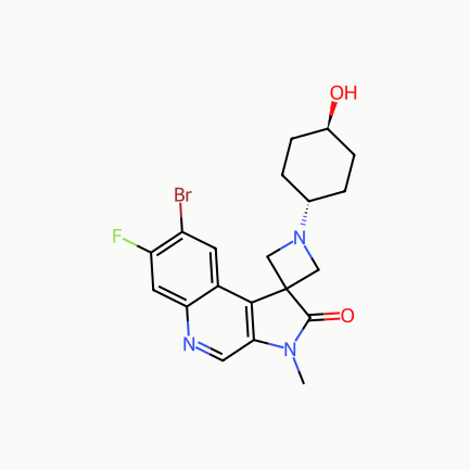 CN1C(=O)C2(CN([C@H]3CC[C@H](O)CC3)C2)c2c1cnc1cc(F)c(Br)cc21